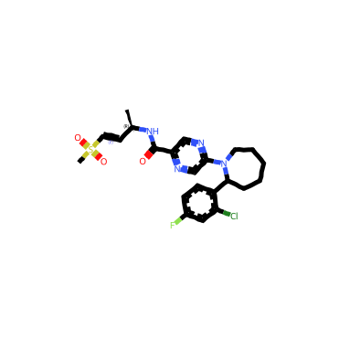 C[C@H](/C=C/S(C)(=O)=O)NC(=O)c1cnc(N2CCCCCC2c2ccc(F)cc2Cl)cn1